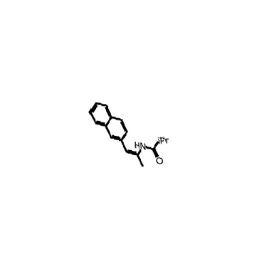 C/C(=C/c1ccc2ccccc2c1)NC(=O)C(C)C